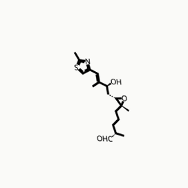 C/C(=C\c1csc(C)n1)[C@@H](O)C[C@@H]1O[C@]1(C)CCC[C@H](C)C=O